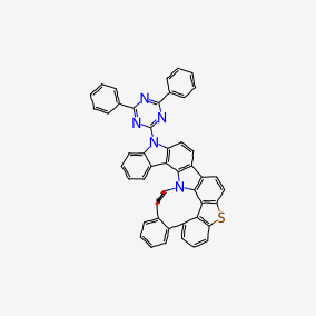 c1ccc(-c2nc(-c3ccccc3)nc(-n3c4ccccc4c4c3ccc3c5ccc6sc7cccc8c9ccccc9c9ccccc9n(c5c6c78)c34)n2)cc1